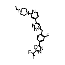 CCN1CCN(c2cc(-c3cn(Cc4ccc(-c5nnc(C(F)F)o5)cc4F)nn3)ccn2)CC1